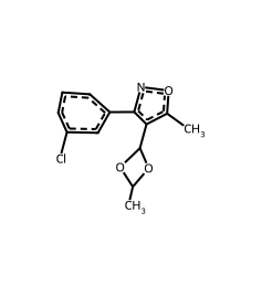 Cc1onc(-c2cccc(Cl)c2)c1C1OC(C)O1